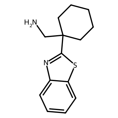 NCC1(c2nc3ccccc3s2)CCCCC1